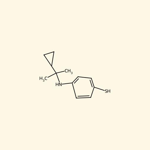 CC(C)(Nc1ccc(S)cc1)C1CC1